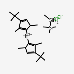 CC1=[C]([Hf+2][C]2=C(C)C(C(C)(C)C)=CC2C)C(C)C=C1C(C)(C)C.C[SiH2][Si](C)(C)C.[Cl-].[Cl-]